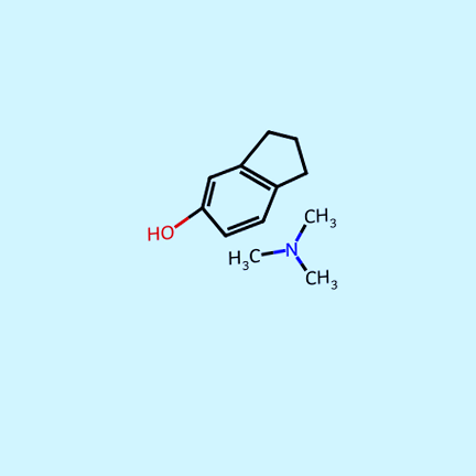 CN(C)C.Oc1ccc2c(c1)CCC2